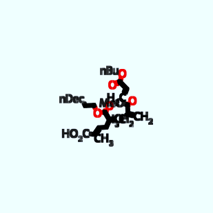 C=C(C)C(=O)OC.C=C(CC=C(C)C(=O)O)C(=O)OCCCCCCCCCCCC.C=CC(=O)OCCCC